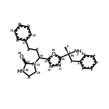 C[C@@](N)(Cc1ccccc1)c1nnc(C(CCc2ccccc2)N2CCNC2=O)o1